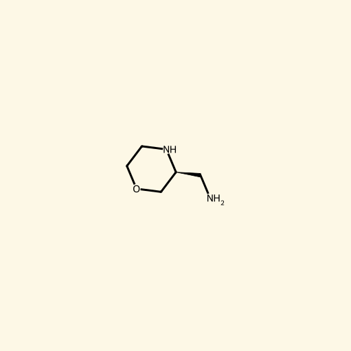 NC[C@H]1COCCN1